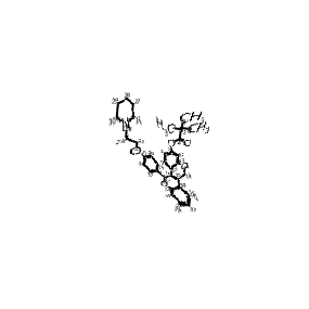 CC(C)(C)C(=O)Oc1ccc2c(c1)OCC1=C2[C@H](c2ccc(OCCN3CCCCC3)cc2)Oc2ccccc21